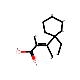 CCC1(C(C)=C(C)C(=O)O)CCCCC1